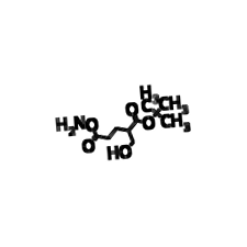 CC(C)(C)OC(=O)C(CO)CCC(=O)ON